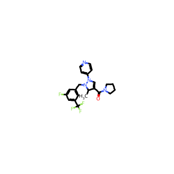 CC1C(C(=O)N2CCCC2)=CN(c2ccncc2)N1Cc1cc(F)cc(C(F)(F)F)c1